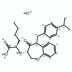 CCCC[C@@H](N[C@H]1COc2ccccc2N(Cc2ccc(C(C)C)cc2)C1=O)C(=O)O.Cl